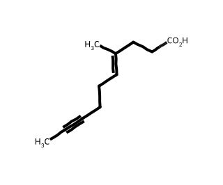 CC#CCCC=C(C)CCC(=O)O